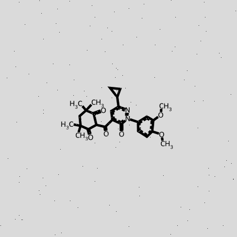 COc1ccc(-n2nc(C3CC3)cc(C(=O)C3C(=O)C(C)(C)CC(C)(C)C3=O)c2=O)cc1OC